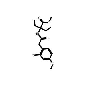 CCC(CC)(NC(=O)Cc1ccc(OC)cc1Cl)C(=O)OC